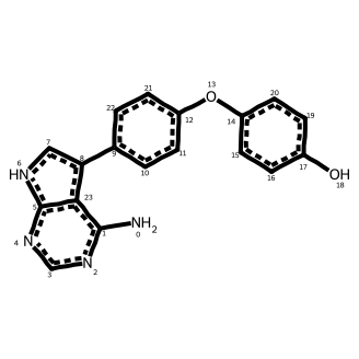 Nc1ncnc2[nH]cc(-c3ccc(Oc4ccc(O)cc4)cc3)c12